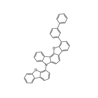 c1ccc(-c2cccc(-c3cccc4c3oc3c4ccc4c3c3ccccc3n4-c3cccc4c3oc3ccccc34)c2)cc1